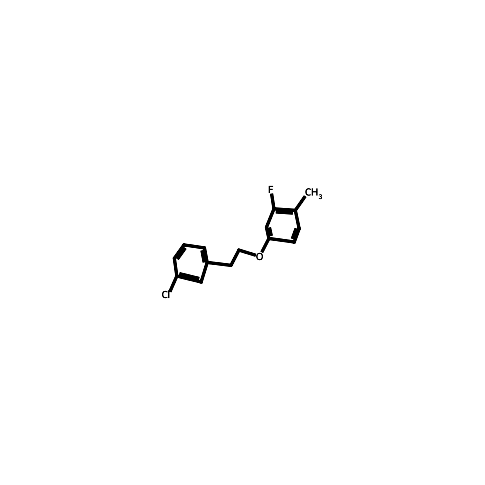 Cc1ccc(OCCc2cccc(Cl)c2)cc1F